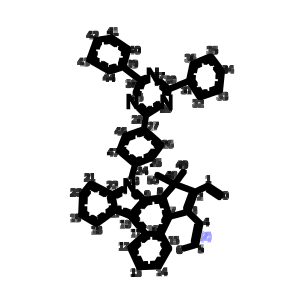 C=CC1=C(/C=C\C)c2c(c3c(c4ccccc24)c2ccccc2n3-c2ccc(-c3nc(-c4ccccc4)nc(-c4ccccc4)n3)cc2)C1(C)C